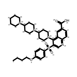 CCCCOc1ccc(S(=O)(=O)c2cnc3ccc(C(=O)O)cc3c2N2CCC(N3CCC(N4CCCCC4)CC3)CC2)cc1